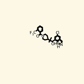 CC(C)(C1CCN(C(=O)c2ccccc2C(F)(F)F)CC1)C(O)c1cc(Cl)cc2cn[nH]c12